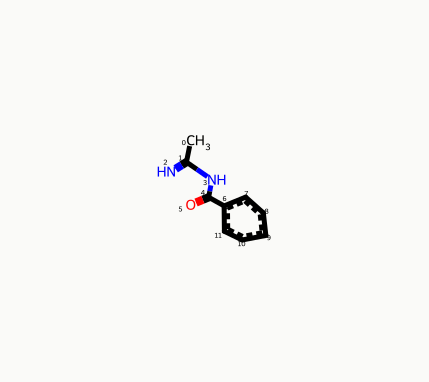 CC(=N)NC(=O)c1ccccc1